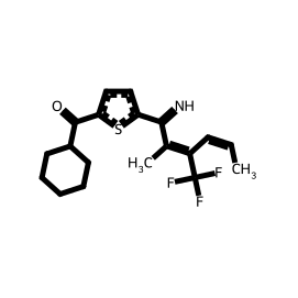 C/C=C\C(=C(\C)C(=N)c1ccc(C(=O)C2CCCCC2)s1)C(F)(F)F